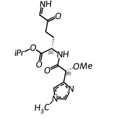 CO[C@@H](C(=O)N[C@@H](CCC(=O)C=N)C(=O)OC(C)C)c1cn(C)cn1